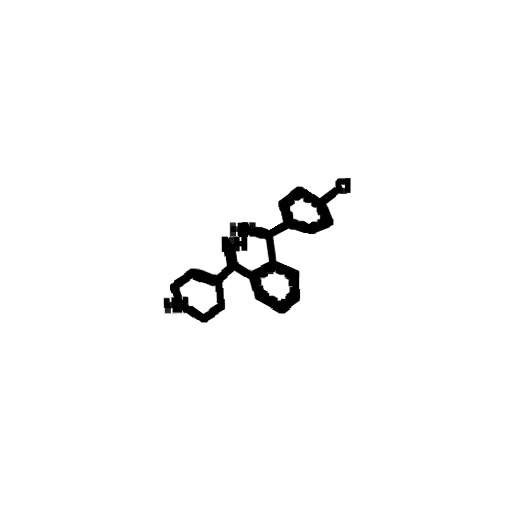 N=C(C1=CCNCC1)c1ccccc1C(=N)c1ccc(Cl)cc1